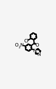 O=C(c1ccccc1Cl)c1cc([N+](=O)[O-])ccc1-n1ccnc1